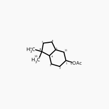 CC(=O)OC1CCC2C(CCC2(C)C)C1